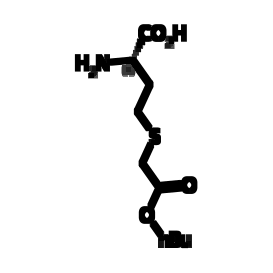 CCCCOC(=O)CSCC[C@H](N)C(=O)O